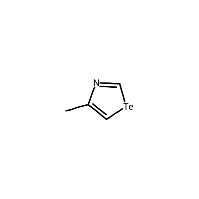 Cc1c[te]cn1